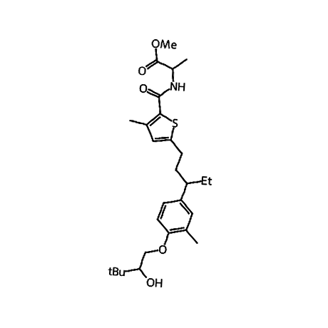 CCC(CCc1cc(C)c(C(=O)NC(C)C(=O)OC)s1)c1ccc(OCC(O)C(C)(C)C)c(C)c1